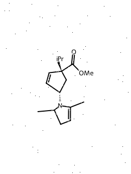 COC(=O)[C@@]1(C(C)C)C=C[C@@H](N2C(C)=CCC2C)C1